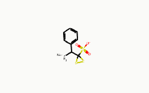 CC(c1ccccc1)C1(S(=O)(=O)[O-])SS1.[Na+]